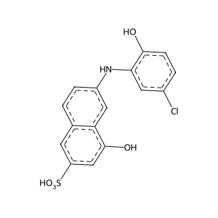 O=S(=O)(O)c1cc(O)c2cc(Nc3cc(Cl)ccc3O)ccc2c1